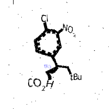 CC(C)(C)C/C(=C\C(=O)O)c1ccc(Cl)c([N+](=O)[O-])c1